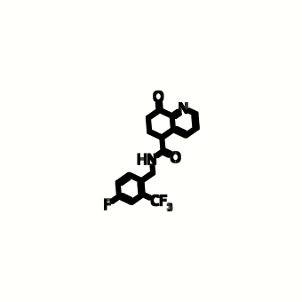 O=C1CCC(C(=O)NCc2ccc(F)cc2C(F)(F)F)c2cccnc21